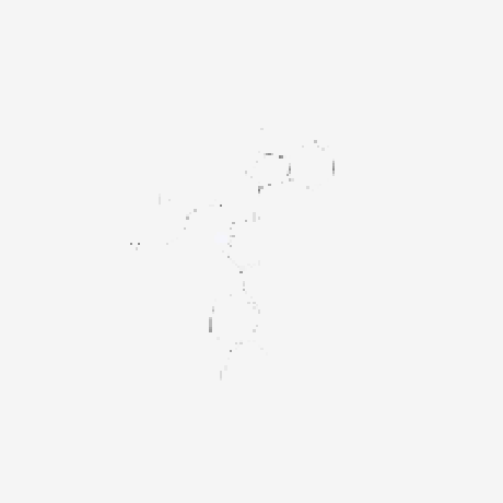 CCOC(=O)n1nc(N/C(=N\C(=O)c2ccc(F)c(F)c2)N[C@@H](C)COC)c2ccc(C)cc21